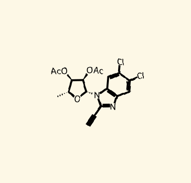 C#Cc1nc2cc(Cl)c(Cl)cc2n1[C@@H]1O[C@H](C)[C@@H](OC(C)=O)[C@H]1OC(C)=O